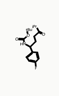 CC(C)C(=O)CCC(NC(=O)OC(C)(C)C)c1ccc(F)cc1